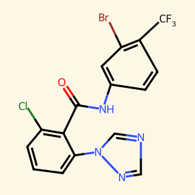 O=C(Nc1ccc(C(F)(F)F)c(Br)c1)c1c(Cl)cccc1-n1cncn1